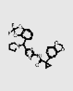 O=C(Nc1ncc(C(c2cccc3c2OC(F)(F)O3)N2CCCC2)s1)C1(c2ccc3c(c2)OCO3)CC1